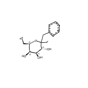 OC[C@H]1OC(F)(Cc2ccccc2)[C@H](O)[C@@H](O)[C@H]1O